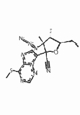 CC[C@H]1OC(C#N)(c2cnc3c(SC)ncnn23)[C@](C)(N=[N+]=[N-])[C@@H]1C